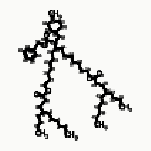 CCCCCCC(CCCC)CCC(=O)OCCCCCCCC(CCCCCCCOC(=O)CCC(CCCC)CCCCCC)N(CC1CCN(C)CC1)C(=O)OCc1ccccc1